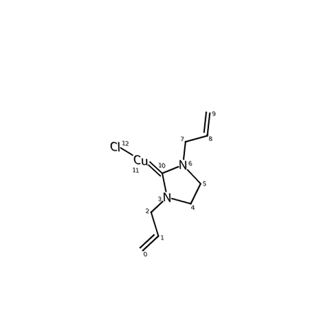 C=CCN1CCN(CC=C)[C]1=[Cu][Cl]